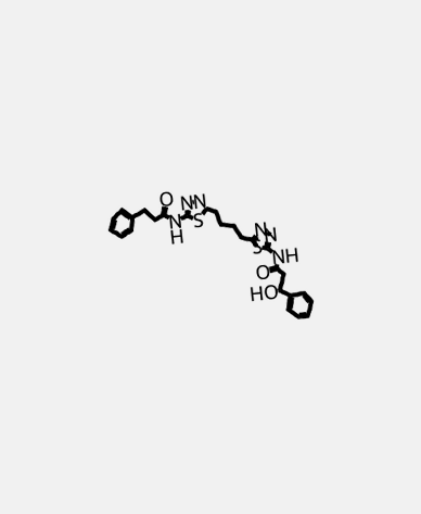 O=C(CCc1ccccc1)Nc1nnc(CCCCc2nnc(NC(=O)CC(O)c3ccccc3)s2)s1